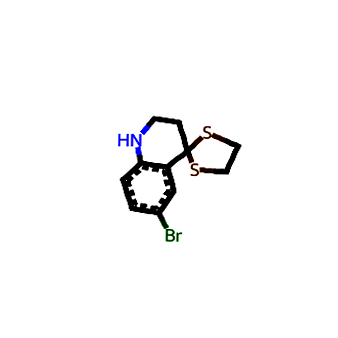 Brc1ccc2c(c1)C1(CCN2)SCCS1